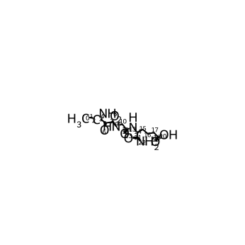 CCCC(N)C(=O)C(=O)NCC(=O)NC(CCCC(=O)O)C(N)=O